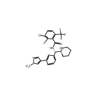 Cn1cc(-c2cccc([C@H](NC(=O)c3c(C(F)(F)F)ccc(Cl)c3F)[C@@H]3CCCCN3)c2)cn1